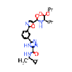 CC(C)OC(=O)C(NC(=O)c1cnc(-c2cccc(-c3nnc(C(=O)N[C@@H](C)C4CC4)[nH]3)c2)o1)C(C)C